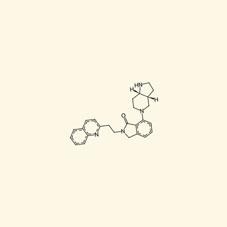 O=C1c2c(cccc2N2CC[C@@H]3NCC[C@@H]3C2)CN1CCc1ccc2ccccc2n1